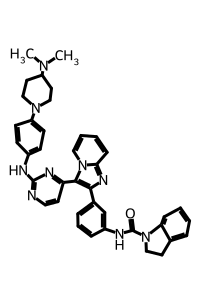 CN(C)C1CCN(c2ccc(Nc3nccc(-c4c(-c5cccc(NC(=O)N6CCc7ccccc76)c5)nc5ccccn45)n3)cc2)CC1